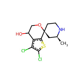 C[C@H]1C[C@]2(CCN1)OCC(O)c1c2sc(Cl)c1Cl